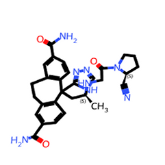 C[C@@H](CC1(c2nnc[nH]2)c2ccc(C(N)=O)cc2CCc2cc(C(N)=O)ccc21)NCC(=O)N1CCC[C@H]1C#N